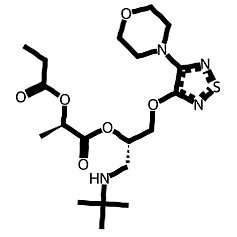 CCC(=O)O[C@H](C)C(=O)O[C@@H](CNC(C)(C)C)COc1nsnc1N1CCOCC1